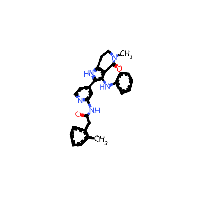 Cc1ccccc1CC(=O)Nc1cc(-c2[nH]c3c(c2Nc2ccccc2)C(=O)N(C)CC3)ccn1